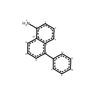 Nc1cccc2c(-c3ccccc3)cccc12